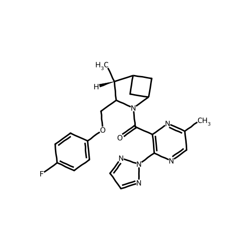 Cc1cnc(-n2nccn2)c(C(=O)N2C3CC(C3)[C@@H](C)C2COc2ccc(F)cc2)n1